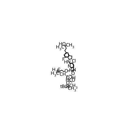 CC(C)(O)CCc1cc(F)c2c(c1)CC[C@@H]2Nc1nc2c(cc1Cl)nc(O[C@@H]1CO[C@H]3[C@@H]1OC[C@H]3O[Si](C)(C)C(C)(C)C)n2COCC[Si](C)(C)C